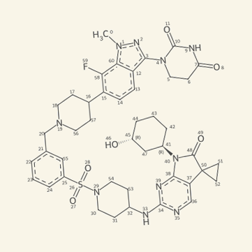 Cn1nc(N2CCC(=O)NC2=O)c2ccc(C3CCN(Cc4cccc(S(=O)(=O)N5CCC(Nc6ncc7c(n6)N([C@@H]6CCC[C@@H](O)C6)C(=O)C76CC6)CC5)c4)CC3)c(F)c21